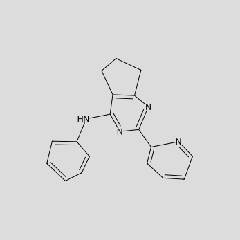 c1ccc(Nc2nc(-c3ccccn3)nc3c2CCC3)cc1